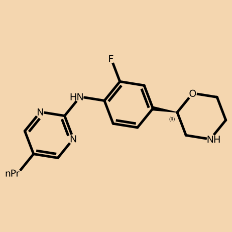 CCCc1cnc(Nc2ccc([C@@H]3CNCCO3)cc2F)nc1